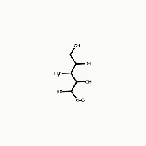 NC(C(O)CO)C(O)C(O)C=O